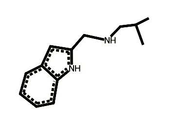 CC(C)CNCc1cc2ccccc2[nH]1